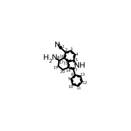 N#Cc1ccc2[nH]c(-c3ccccc3)c3c2c1C(N)CC3